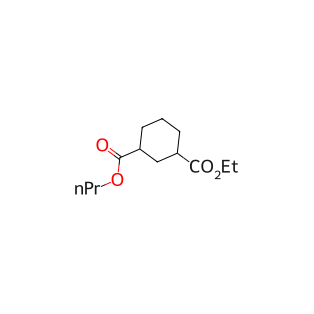 CCCOC(=O)C1CCCC(C(=O)OCC)C1